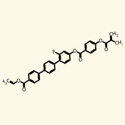 C=COC(=O)c1ccc(-c2ccc(-c3ccc(OC(=O)c4ccc(OC(=O)C(=C)C)cc4)cc3F)cc2)cc1